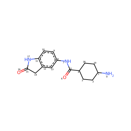 NC1CCC(C(=O)Nc2ccc3c(c2)CC(=O)N3)CC1